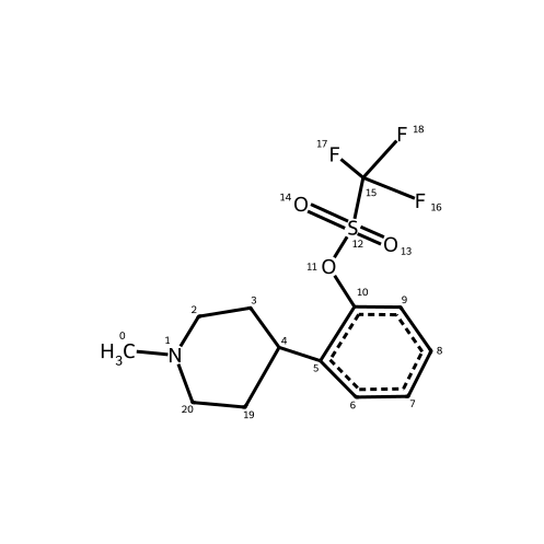 CN1CCC(c2ccccc2OS(=O)(=O)C(F)(F)F)CC1